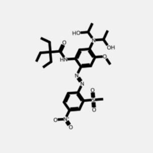 CCC(CC)(CC)C(=O)Nc1cc(N(C(C)O)C(C)O)c(OC)cc1N=Nc1ccc([N+](=O)[O-])cc1S(C)(=O)=O